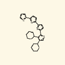 c1csc(-c2ccc(-c3ccc(-c4scc(C5CCCCC5)c4C4CCCCC4)s3)s2)c1